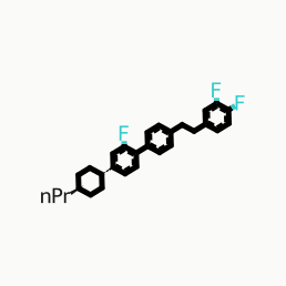 CCC[C@H]1CC[C@H](c2ccc(-c3ccc(CCc4ccc(F)c(F)c4)cc3)c(F)c2)CC1